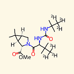 [2H]C([2H])([2H])C(C)(C)NC(=O)N[C@H](C(=O)N1C[C@H]2[C@@H]([C@H]1C(=O)OC)C2(C)C)C(C)(C)C([2H])([2H])[2H]